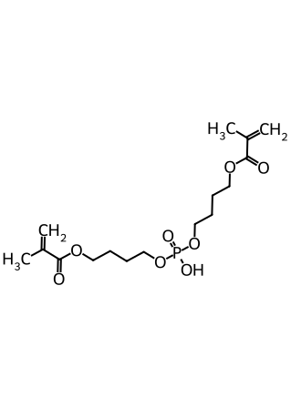 C=C(C)C(=O)OCCCCOP(=O)(O)OCCCCOC(=O)C(=C)C